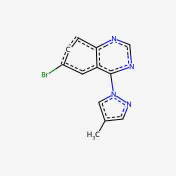 Cc1cnn(-c2ncnc3ccc(Br)cc23)c1